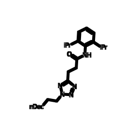 CCCCCCCCCCCCn1nnc(CCC(=O)Nc2c(C(C)C)cccc2C(C)C)n1